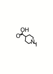 O=C(O)C1CCN(I)CC1